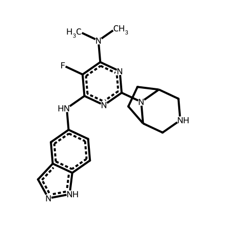 CN(C)c1nc(N2C3CCC2CNC3)nc(Nc2ccc3[nH]ncc3c2)c1F